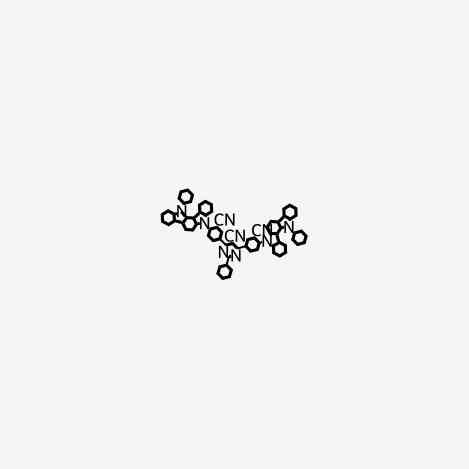 N#Cc1cc(-c2nc(-c3ccccc3)nc(-c3ccc(-n4c5ccccc5c5c4ccc4c6ccccc6n(-c6ccccc6)c45)c(C#N)c3)c2C#N)ccc1-n1c2ccccc2c2c1ccc1c3ccccc3n(-c3ccccc3)c12